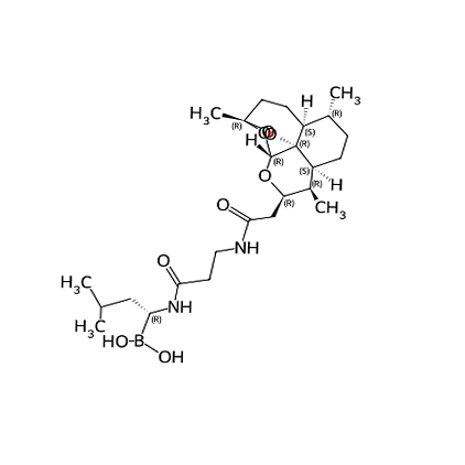 CC(C)C[C@H](NC(=O)CCNC(=O)C[C@H]1O[C@@H]2O[C@@]3(C)CC[C@H]4[C@H](C)CC[C@@H]([C@H]1C)[C@@]24OO3)B(O)O